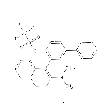 CN(C)c1ccc2ccccc2c1-c1cc(-c2ccccc2)ccc1OS(=O)(=O)C(F)(F)F